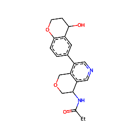 CCC(=O)NC1COCc2c(-c3ccc4c(c3)C(O)CCO4)cncc21